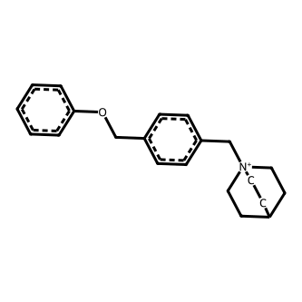 c1ccc(OCc2ccc(C[N+]34CCC(CC3)CC4)cc2)cc1